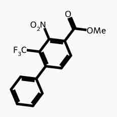 COC(=O)c1ccc(-c2ccccc2)c(C(F)(F)F)c1[N+](=O)[O-]